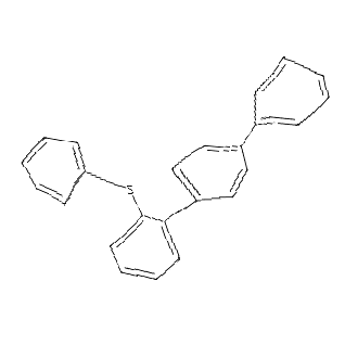 c1ccc(Sc2ccccc2-c2ccc(-c3ccccc3)cc2)cc1